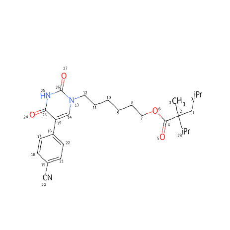 CC(C)CC(C)(C(=O)OCCCCCCn1cc(-c2ccc(C#N)cc2)c(=O)[nH]c1=O)C(C)C